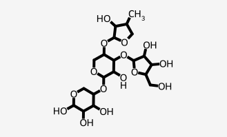 CC1COC(OC2COC(OC3COC(O)C(O)C3O)C(O)C2OC2OC(CO)C(O)C2O)C1O